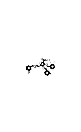 NC(=S)[C@@H]1O[C@H](CCOCc2cccc(F)c2)[C@@H](OCc2cccc(F)c2)[C@H]1OCc1cccc(F)c1